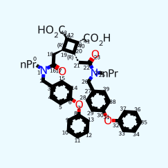 CCCN(Cc1ccc(Oc2ccccc2)cc1)C(=O)C[C@@H]1[C@@H](CC(=O)N(CCC)Cc2ccc(Oc3ccccc3)cc2)[C@@H](C(=O)O)[C@@H]1C(=O)O